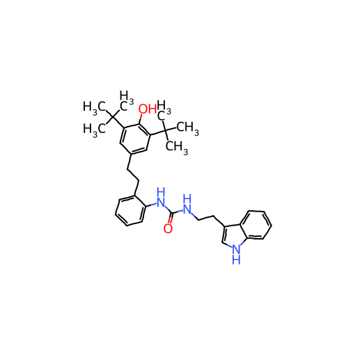 CC(C)(C)c1cc(CCc2ccccc2NC(=O)NCCc2c[nH]c3ccccc23)cc(C(C)(C)C)c1O